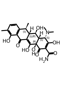 Cc1ccc2c(c1O)C(=O)C1=C(O)[C@@]3(O)C(=O)C(C(N)=O)=C(O)[C@@H](N(C)C)[C@H]3[C@H](O)[C@H]1[C@@H]2C